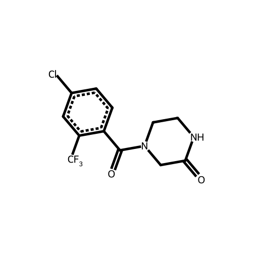 O=C1CN(C(=O)c2ccc(Cl)cc2C(F)(F)F)CCN1